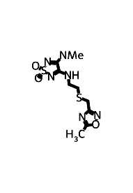 CNC1=NS(=O)(=O)N=C1NCCSCc1noc(C)n1